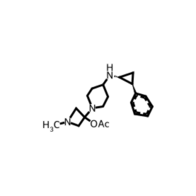 CC(=O)OC1(N2CCC(N[C@@H]3C[C@H]3c3ccccc3)CC2)CN(C)C1